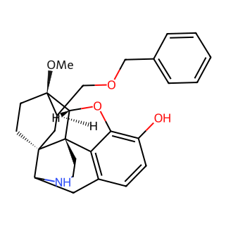 CO[C@]12CC[C@@]3(C[C@@H]1COCc1ccccc1)C1Cc4ccc(O)c5c4[C@@]3(CCN1)[C@H]2O5